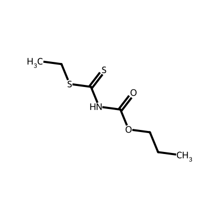 CCCOC(=O)NC(=S)SCC